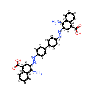 Nc1c(/N=N/c2ccc(-c3ccc(/N=N/c4cc(C(=O)O)c5ccccc5c4N)cc3)cc2)cc(C(=O)O)c2ccccc12